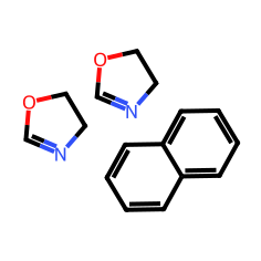 C1=NCCO1.C1=NCCO1.c1ccc2ccccc2c1